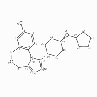 Clc1ccc2c(c1)COCc1nnc([C@H]3CC[C@H](OC4CCCC4)CC3)n1-2